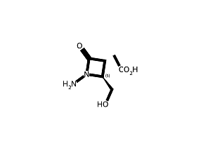 CC(=O)O.NN1C(=O)C[C@H]1CO